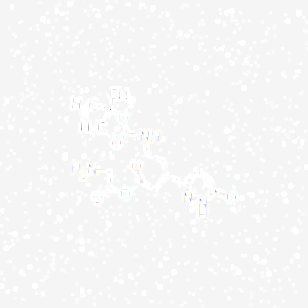 CC(C)(C)OC(=O)NCCC(CC(=O)OC(=O)CN)c1ccc(=O)[nH]n1